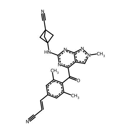 Cc1cc(/C=C/C#N)cc(C)c1C(=O)c1nc(NC23CC(C#N)(C2)C3)nc2nn(C)cc12